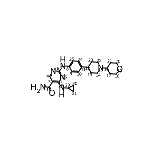 NC(=O)c1cnc(Nc2ccc(C3CCN(C4CCOCC4)CC3)cc2)nc1NC1CC1